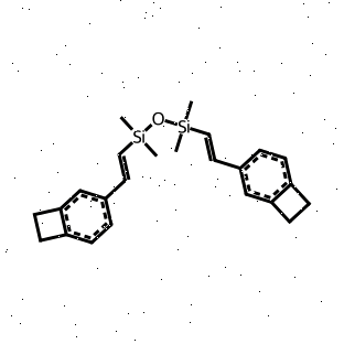 C[Si](C)(C=Cc1ccc2c(c1)CC2)O[Si](C)(C)C=Cc1ccc2c(c1)CC2